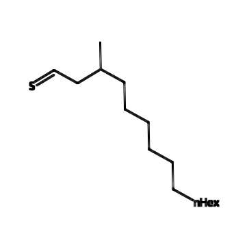 CCCCCCCCCCCCC(C)CC=S